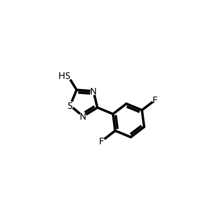 Fc1ccc(F)c(-c2nsc(S)n2)c1